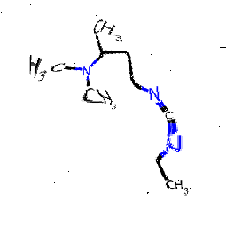 CCN=C=NCCC(C)N(C)C